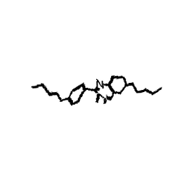 CCCCCc1ccc(-c2ncc3c(n2)CCC(CCCCC)C3)cc1